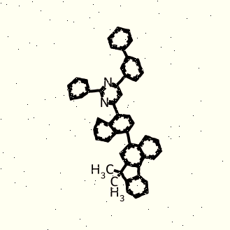 CC1(C)c2ccccc2-c2c1cc(-c1ccc(-c3cc(-c4cccc(-c5ccccc5)c4)nc(-c4ccccc4)n3)c3ccccc13)c1ccccc21